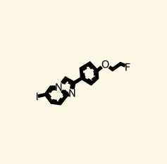 FCCOc1ccc(-c2cn3cc(I)ccc3n2)cc1